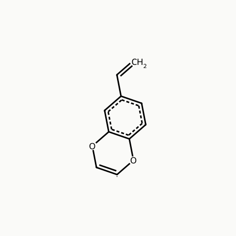 C=Cc1ccc2c(c1)OC=[C]O2